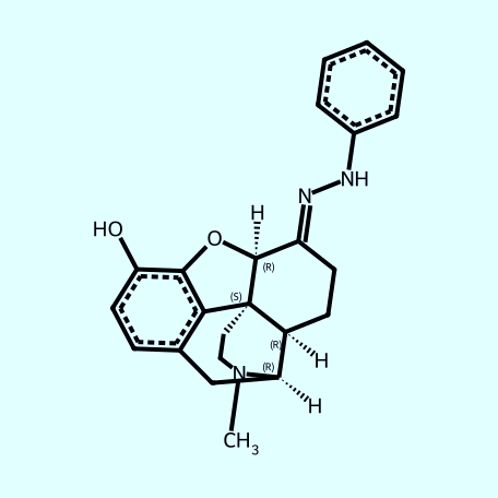 CN1CC[C@]23c4c5ccc(O)c4O[C@H]2C(=NNc2ccccc2)CC[C@H]3[C@H]1C5